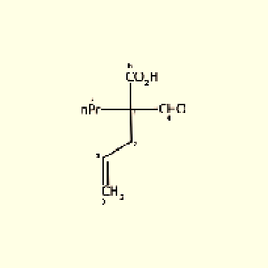 C=CCC(C=O)(CCC)C(=O)O